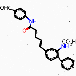 O=Cc1ccc(NC(=O)CC/C=C/c2ccc(-c3ccccc3)c(NC(=O)O)c2)cc1